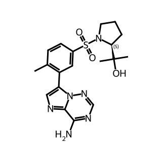 Cc1ccc(S(=O)(=O)N2CCC[C@H]2C(C)(C)O)cc1-c1cnc2c(N)ncnn12